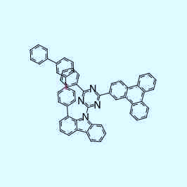 c1ccc(-c2cccc(-c3ccc(-c4cccc5c6ccccc6n(-c6nc(-c7ccccc7)nc(-c7ccc8c9ccccc9c9ccccc9c8c7)n6)c45)cc3)c2)cc1